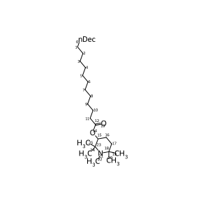 CCCCCCCCCCCCCCCCCCCCCC(=O)OC1CCC(C)(C)N(C)C1(C)C